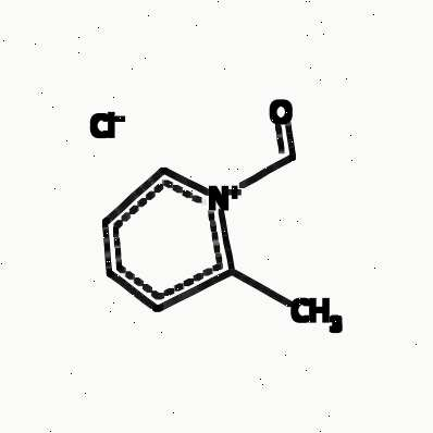 Cc1cccc[n+]1C=O.[Cl-]